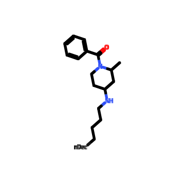 CCCCCCCCCCCCCCNC1CCN(C(=O)c2ccccc2)C(C)C1